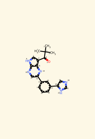 CC(C)(C)C(=O)c1c[nH]c2ncc(-c3cccc(-c4cnc[nH]4)c3)nc12